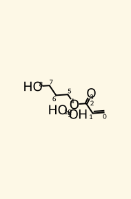 C=CC(=O)OCCCO.OO